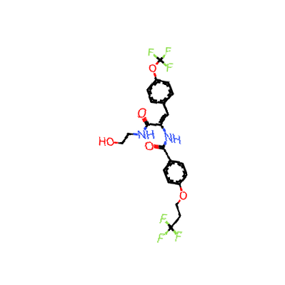 O=C(NCCO)/C(=C\c1ccc(OC(F)(F)F)cc1)NC(=O)c1ccc(OCCC(F)(F)F)cc1